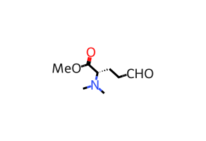 COC(=O)[C@H](CCC=O)N(C)C